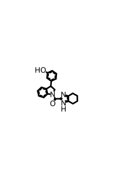 O=C(c1nc2c([nH]1)CCCC2)N1CC(c2cccc(O)c2)c2ccccc21